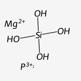 O[Si](O)(O)O.[Mg+2].[P+3]